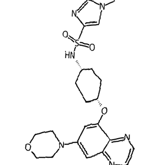 Cn1cnc(S(=O)(=O)N[C@H]2CC[C@@H](Oc3cc(N4CCOCC4)cc4nccnc34)CC2)c1